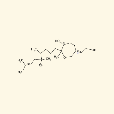 CC(C)=CCC(C)(O)C(C)CCCC1(C)OC/C(=C/CO)CC[C@H]1O